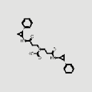 O=C(CCN(CCC(=O)N[C@H]1C[C@@H]1c1ccccc1)C(=O)O)N[C@H]1C[C@@H]1c1ccccc1